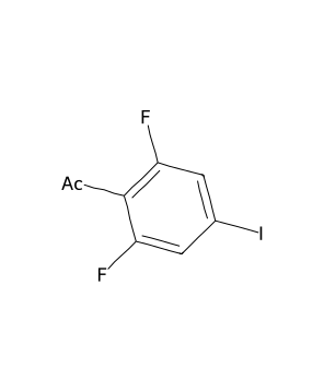 CC(=O)c1c(F)cc(I)cc1F